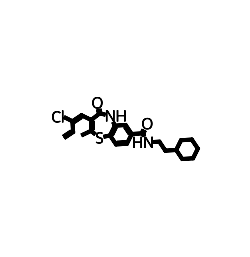 C=C/C(Cl)=C\C1=C(C)Sc2ccc(C(=O)NCCC3CCCCC3)cc2NC1=O